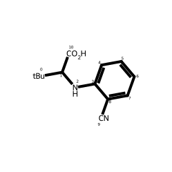 CC(C)(C)C(Nc1ccccc1C#N)C(=O)O